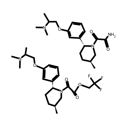 CC(COc1cccc([C@H]2CC[C@H](C)CN2C(=O)C(=O)OCC(F)(F)F)c1)N(C)C.CC(COc1cccc([C@H]2CC[C@H](C)CN2C(=O)C(N)=O)c1)N(C)C